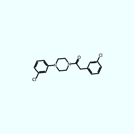 O=C(Cc1cccc(Cl)c1)N1CCN(c2cccc(Cl)c2)CC1